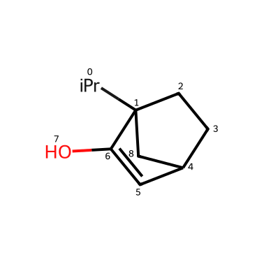 CC(C)C12CCC(C=C1O)C2